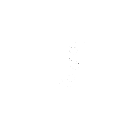 Nc1cc(-c2ccnc(Nc3ccc(C=O)nc3)n2)ccc1OC1CCOCC1